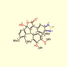 COc1ccc(C2(O)OC(=O)C(c3ccc4nsnc4c3)=C2Cc2cc(OC)c(OC(C)C)c(OC(C)C)c2)cc1OC